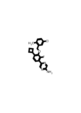 Cc1ccc(Cl)cc1COc1c(C2CCC2)ccc(-c2cnc(N)cn2)c1F